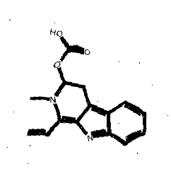 C=CC1=C2N=c3ccccc3=C2CC(OC(=O)O)N1C